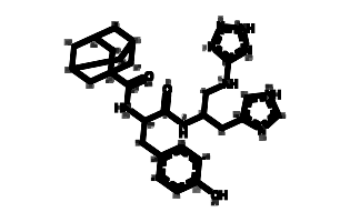 O=C(NC(CNc1nn[nH]n1)Cc1c[nH]cn1)C(Cc1ccc(O)cc1)NC(=O)C12CC3CC(CC(C3)C1)C2